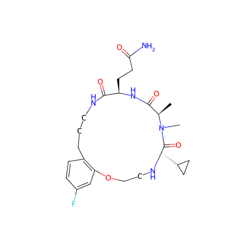 C[C@@H]1C(=O)N[C@H](CCC(N)=O)C(=O)NCCCc2ccc(F)cc2OCCN[C@@H](C2CC2)C(=O)N1C